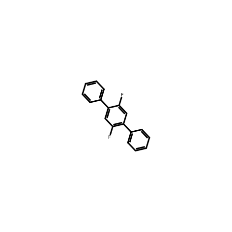 Fc1cc(-c2ccccc2)c(F)cc1-c1ccccc1